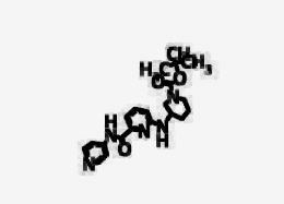 CC(C)(C)OC(=O)N1CCCC(Nc2cccc(C(=O)Nc3ccncc3)n2)C1